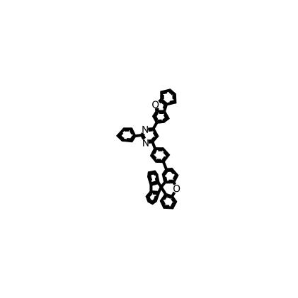 c1ccc(-c2nc(-c3ccc(-c4ccc5c(c4)C4(c6ccccc6O5)c5ccccc5-c5ccccc54)cc3)cc(-c3ccc4c(c3)oc3ccccc34)n2)cc1